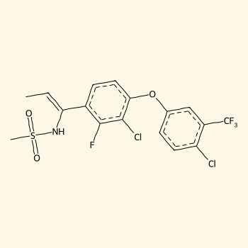 CC=C(NS(C)(=O)=O)c1ccc(Oc2ccc(Cl)c(C(F)(F)F)c2)c(Cl)c1F